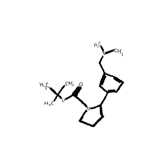 CN(C)Cc1cccc(C2CCCN2C(=O)OC(C)(C)C)c1